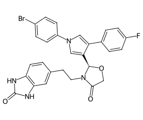 O=C1CO[C@H](c2cn(-c3ccc(Br)cc3)cc2-c2ccc(F)cc2)N1CCc1ccc2[nH]c(=O)[nH]c2c1